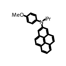 COc1ccc(N(c2cc3ccc4cccc5ccc(c2)c3c45)C(C)C)cc1